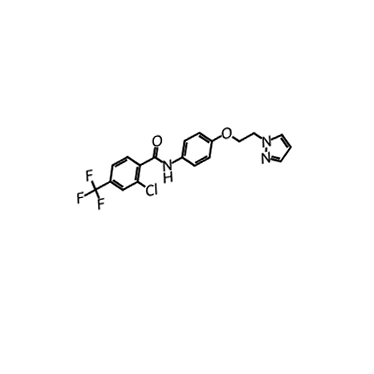 O=C(Nc1ccc(OCCn2cccn2)cc1)c1ccc(C(F)(F)F)cc1Cl